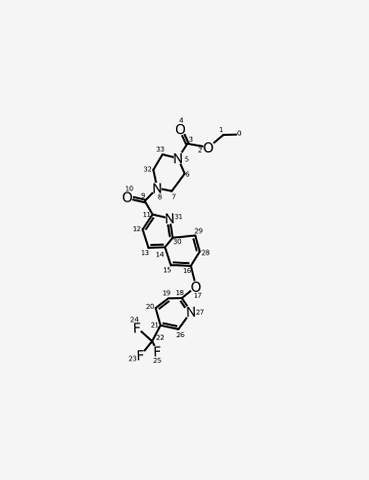 CCOC(=O)N1CCN(C(=O)c2ccc3cc(Oc4ccc(C(F)(F)F)cn4)ccc3n2)CC1